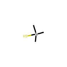 C[Si](C)(C)S